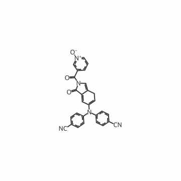 N#Cc1ccc(N(C2=CCC3=CN(C(=O)c4ccc[n+]([O-])c4)C(=O)C3=C2)c2ccc(C#N)cc2)cc1